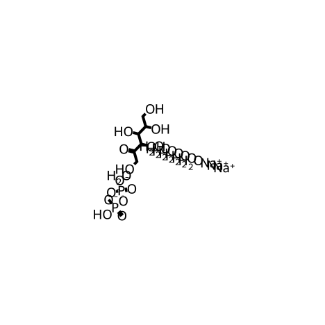 O.O.O.O.O.O.O.O.O=C(CO)C(O)C(O)C(O)CO.O=P([O-])([O-])OP(=O)([O-])O.[Na+].[Na+].[Na+]